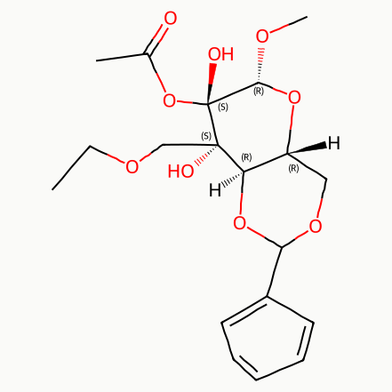 CCOC[C@]1(O)[C@@H]2OC(c3ccccc3)OC[C@H]2O[C@@H](OC)[C@@]1(O)OC(C)=O